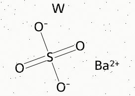 O=S(=O)([O-])[O-].[Ba+2].[W]